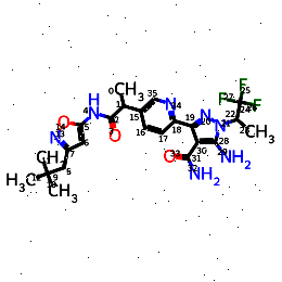 CC(C(=O)Nc1cc(CC(C)(C)C)no1)c1ccc(-c2nn(C(C)C(F)(F)F)c(N)c2C(N)=O)nc1